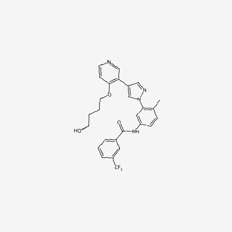 Cc1ccc(NC(=O)c2cccc(C(F)(F)F)c2)cc1-n1cc(-c2cnccc2OCCCCO)cn1